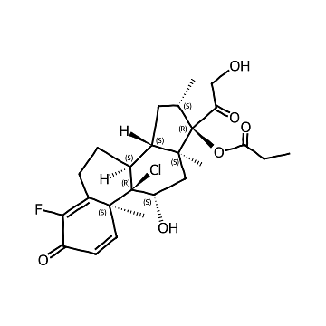 CCC(=O)O[C@]1(C(=O)CO)[C@@H](C)C[C@H]2[C@@H]3CCC4=C(F)C(=O)C=C[C@]4(C)[C@@]3(Cl)[C@@H](O)C[C@@]21C